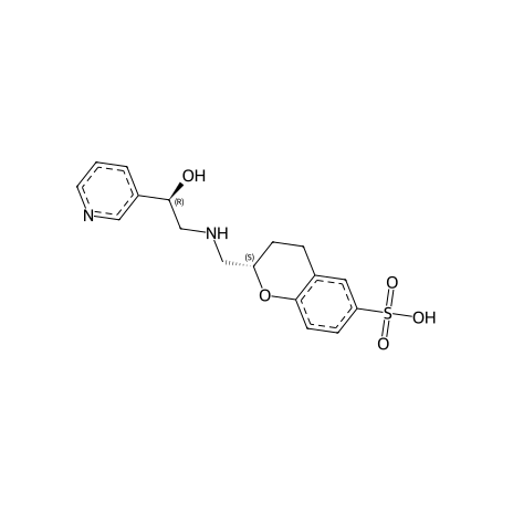 O=S(=O)(O)c1ccc2c(c1)CC[C@@H](CNC[C@H](O)c1cccnc1)O2